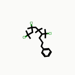 CC(C)(Cl)CC(C)(Cl)CC(C)(C)C(CCCc1ccccc1)C(C)(C)Cl